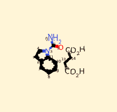 NC(=O)n1ccc2ccccc21.O=C(O)CCC(=O)O